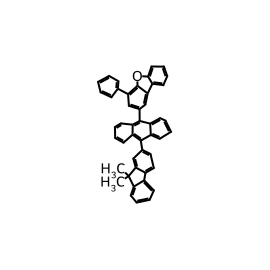 CC1(C)c2ccccc2-c2ccc(-c3c4ccccc4c(-c4cc(-c5ccccc5)c5oc6ccccc6c5c4)c4ccccc34)cc21